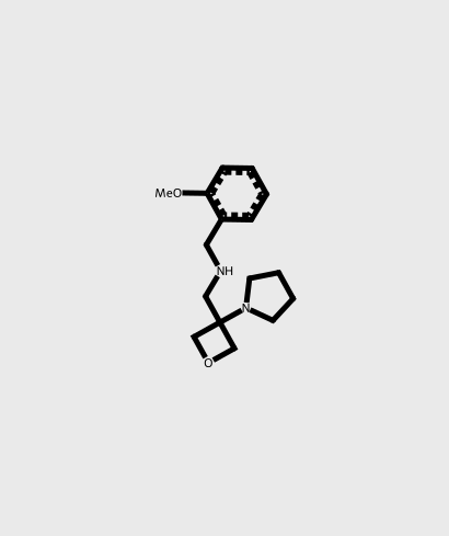 COc1ccccc1CNCC1(N2CCCC2)COC1